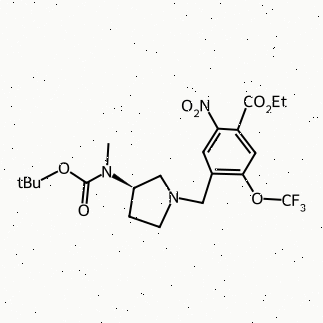 CCOC(=O)c1cc(OC(F)(F)F)c(CN2CC[C@@H](N(C)C(=O)OC(C)(C)C)C2)cc1[N+](=O)[O-]